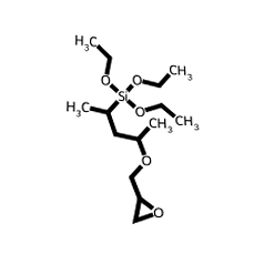 CCO[Si](OCC)(OCC)C(C)CC(C)OCC1CO1